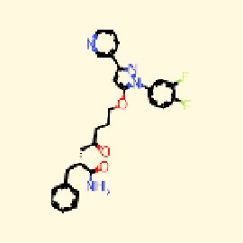 NC(=O)[C@@H](CC(=O)CCCOc1cc(-c2cccnc2)nn1-c1ccc(F)c(F)c1)Cc1ccccc1